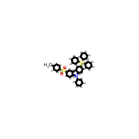 Cc1ccc(S(=O)(=O)c2ccc3c(c2)c2cc(S(c4ccccc4)(c4ccccc4)c4ccccc4)ccc2n3-c2ccccc2)cc1